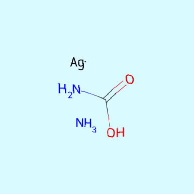 N.NC(=O)O.[Ag]